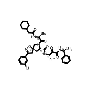 CCC[C@H](NC(=O)[C@@H]1C[C@]2(CC(c3cccc(Cl)c3)=NO2)CN1C(=O)[C@@H](NC(=O)CC1CCCCC1)C(C)(C)C)C(=O)C(=O)N[C@@H](C)c1ccccc1